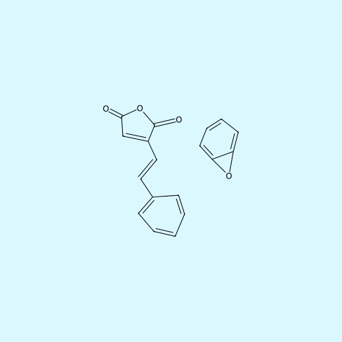 O=C1C=C(C=Cc2ccccc2)C(=O)O1.c1ccc2c(c1)O2